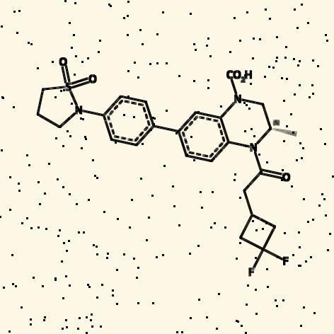 C[C@H]1CN(C(=O)O)c2cc(-c3ccc(N4CCCS4(=O)=O)cc3)ccc2N1C(=O)CC1CC(F)(F)C1